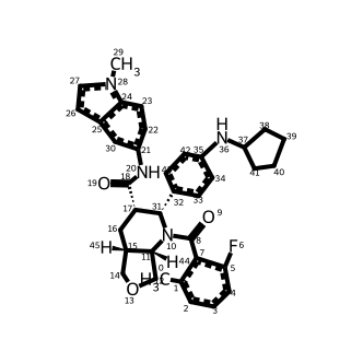 Cc1cccc(F)c1C(=O)N1[C@@H]2COC[C@@H]2C[C@H](C(=O)Nc2ccc3c(ccn3C)c2)[C@@H]1c1ccc(NC2CCCC2)cc1